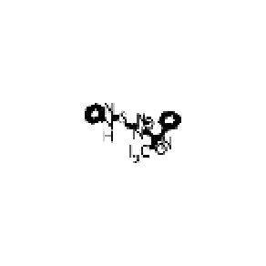 Cc1onc(-c2ccccc2)c1-c1nc(CSc2nc3ccccc3[nH]2)no1